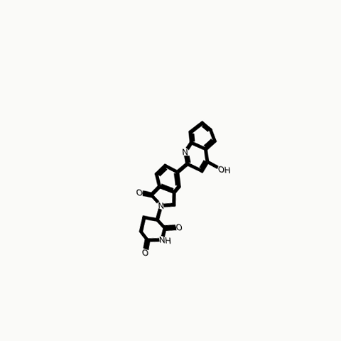 O=C1CCC(N2Cc3cc(-c4cc(O)c5ccccc5n4)ccc3C2=O)C(=O)N1